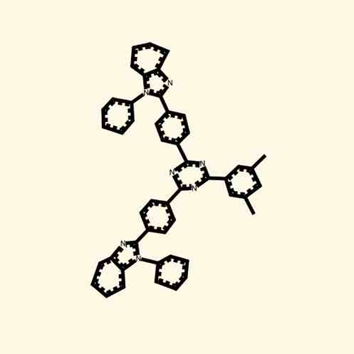 Cc1cc(C)cc(-c2nc(-c3ccc(-c4nc5ccccc5n4-c4ccccc4)cc3)nc(-c3ccc(-c4nc5ccccc5n4-c4ccccc4)cc3)n2)c1